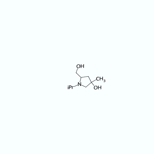 CC(C)N1CC(C)(O)CC1CO